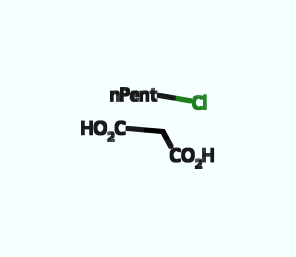 CCCCCCl.O=C(O)CC(=O)O